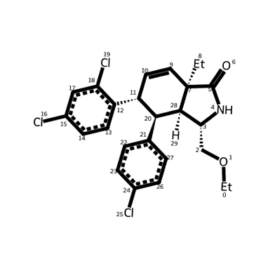 CCOC[C@H]1NC(=O)[C@]2(CC)C=C[C@@H](c3ccc(Cl)cc3Cl)[C@H](c3ccc(Cl)cc3)[C@H]12